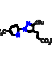 CC(C)(C)c1nn(-c2ccc(C(F)(F)F)cn2)cc1C=CC(=O)O